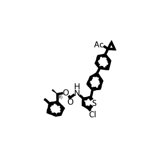 CC(=O)C1(c2ccc(-c3ccc(-c4sc(Cl)cc4NC(=O)O[C@H](C)c4ccccc4C)cc3)cc2)CC1